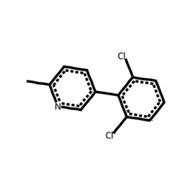 Cc1ccc(-c2c(Cl)[c]ccc2Cl)cn1